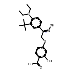 CCN(CC)c1ccc(/C(CSc2ccc(C(=O)O)c(O)c2)=N\O)cc1C(C)(C)C